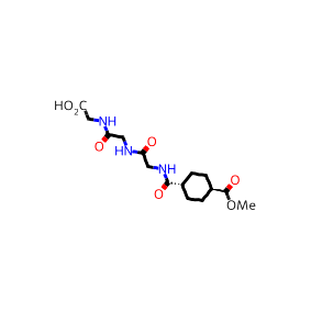 COC(=O)[C@H]1CC[C@H](C(=O)NCC(=O)NCC(=O)NCC(=O)O)CC1